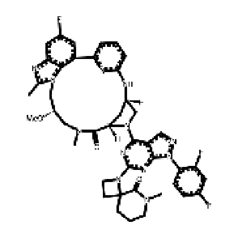 CO[C@H]1CN(C)C(=O)[C@@H]2C[C@@H](CN2c2nc(N3CCC34CCCN(C)C4=O)nc3c2cnn3-c2ccc(F)cc2F)Nc2cccc(n2)-c2cc(F)cc3nc(C)n(c23)C1